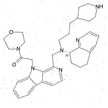 O=C(Cn1c2ccccc2c2ccnc(CN(CCCC3CCNCC3)[C@H]3CCCc4cccnc43)c21)N1CCOCC1